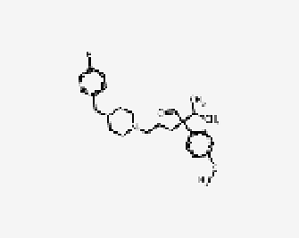 COc1ccc(C(C=O)(CCCN2CCC(Cc3ccc(F)cc3)CC2)C(C)C)cc1